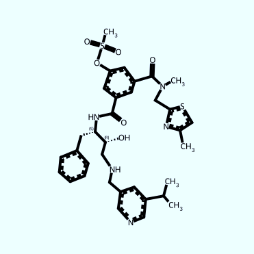 Cc1csc(CN(C)C(=O)c2cc(OS(C)(=O)=O)cc(C(=O)N[C@@H](Cc3ccccc3)[C@H](O)CNCc3cncc(C(C)C)c3)c2)n1